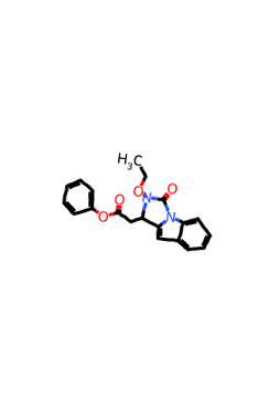 CCON1C(=O)n2c(cc3ccccc32)C1CC(=O)Oc1ccccc1